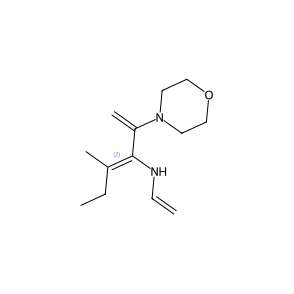 C=CN/C(C(=C)N1CCOCC1)=C(/C)CC